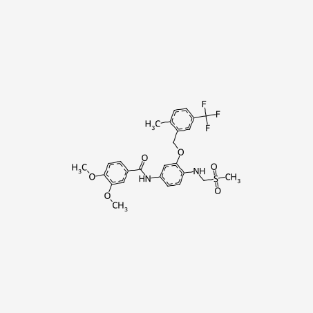 COc1ccc(C(=O)Nc2ccc(NCS(C)(=O)=O)c(OCc3cc(C(F)(F)F)ccc3C)c2)cc1OC